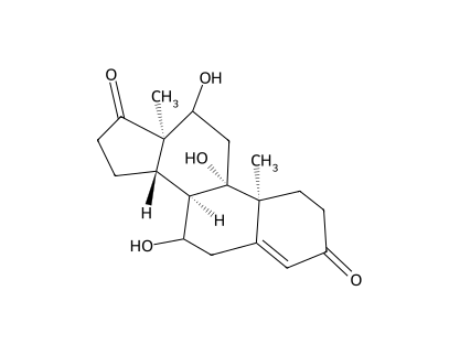 C[C@@]12C(=O)CC[C@H]1[C@@H]1C(O)CC3=CC(=O)CC[C@]3(C)[C@]1(O)CC2O